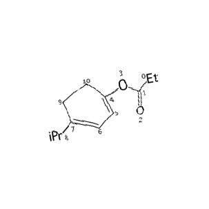 CCC(=O)OC1=CC=C(C(C)C)CC1